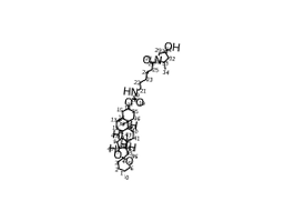 C[C@@H]1CCC2(OC1)O[C@H]1C[C@H]3[C@@H]4CC=C5C[C@@H](OC(=O)NCCCCCC(=O)N6C[C@H](O)C[C@H]6C)CC[C@]5(C)[C@H]4CC[C@]3(C)[C@H]1[C@@H]2C